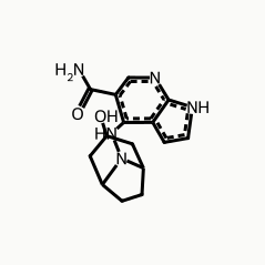 NC(=O)c1cnc2[nH]ccc2c1NN1C2CCC1CC(O)C2